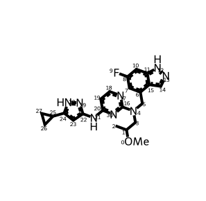 COC(C)CN(Cc1cc(F)cc2[nH]ncc12)c1nccc(Nc2cc(C3CC3)[nH]n2)n1